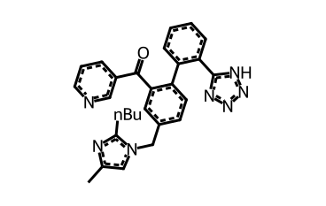 CCCCc1nc(C)cn1Cc1ccc(-c2ccccc2-c2nnn[nH]2)c(C(=O)c2cccnc2)c1